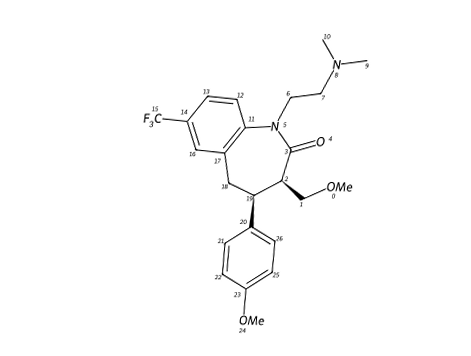 COC[C@@H]1C(=O)N(CCN(C)C)c2ccc(C(F)(F)F)cc2C[C@@H]1c1ccc(OC)cc1